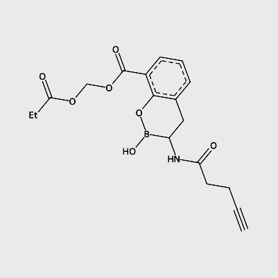 C#CCCC(=O)NC1Cc2cccc(C(=O)OCOC(=O)CC)c2OB1O